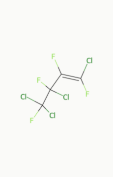 F/C(Cl)=C(/F)C(F)(Cl)C(F)(Cl)Cl